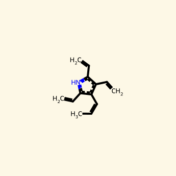 C=Cc1[nH]c(C=C)c(/C=C\C)c1C=C